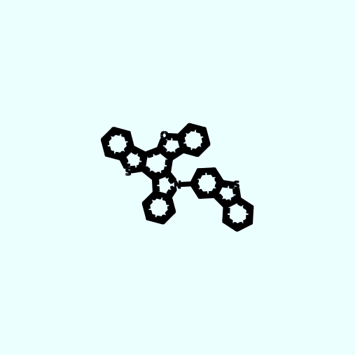 c1ccc2c(c1)oc1c3c4ccccc4sc3c3c4ccccc4n(-c4ccc5sc6ccccc6c5c4)c3c21